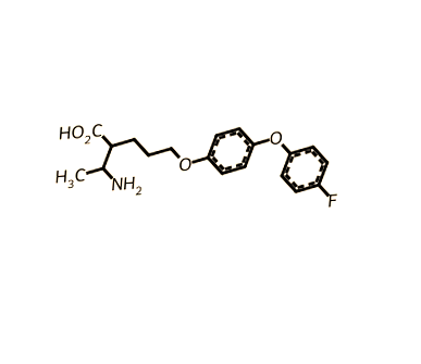 CC(N)C(CCCOc1ccc(Oc2ccc(F)cc2)cc1)C(=O)O